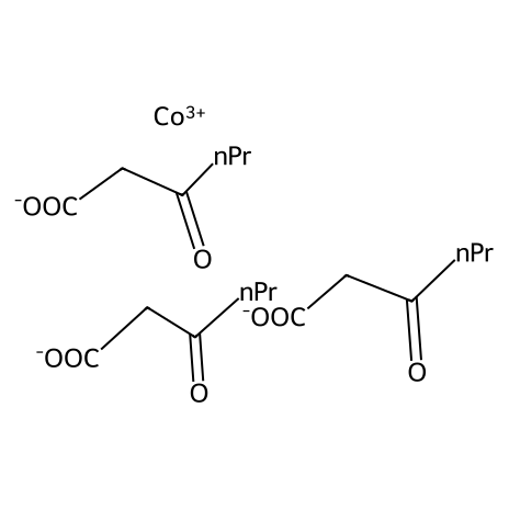 CCCC(=O)CC(=O)[O-].CCCC(=O)CC(=O)[O-].CCCC(=O)CC(=O)[O-].[Co+3]